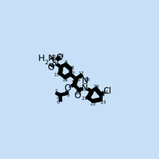 CC(C)COc1c(-c2ccc(S(N)(=O)=O)cc2)cnn(-c2cccc(Cl)c2)c1=O